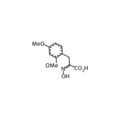 COc1ccc(CC(=NO)C(=O)O)c(OC)c1